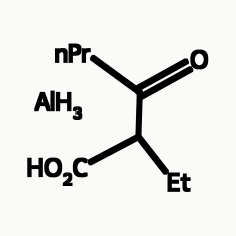 CCCC(=O)C(CC)C(=O)O.[AlH3]